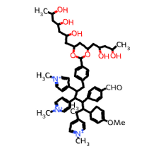 COC1=CCC(C(C(C)c2cc[n+](C)cc2)C(c2ccc(C=O)cc2)C(c2cc[n+](C)cc2)C(Cc2ccc(C3OC(CC(O)CC(C)O)CC(CC(O)CC(O)CC(C)O)O3)cc2)c2cc[n+](C)cc2)C=C1